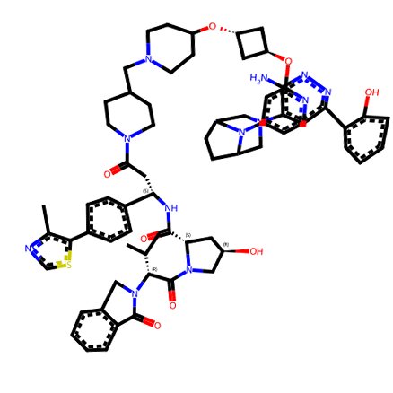 Cc1ncsc1-c1ccc([C@H](CC(=O)N2CCC(CN3CCC(O[C@H]4C[C@H](Oc5cc(N6C7CCC6CN(c6cc(-c8ccccc8O)nnc6N)C7)ccn5)C4)CC3)CC2)NC(=O)[C@@H]2C[C@@H](O)CN2C(=O)[C@@H](C(C)C)N2Cc3ccccc3C2=O)cc1